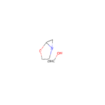 C1CN2CC2O1.O=CO